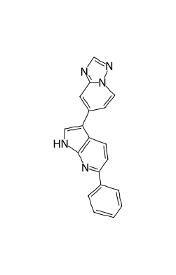 c1ccc(-c2ccc3c(-c4ccn5ncnc5c4)c[nH]c3n2)cc1